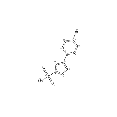 NS(=O)(=O)c1ccc(-c2ccc(O)cc2)s1